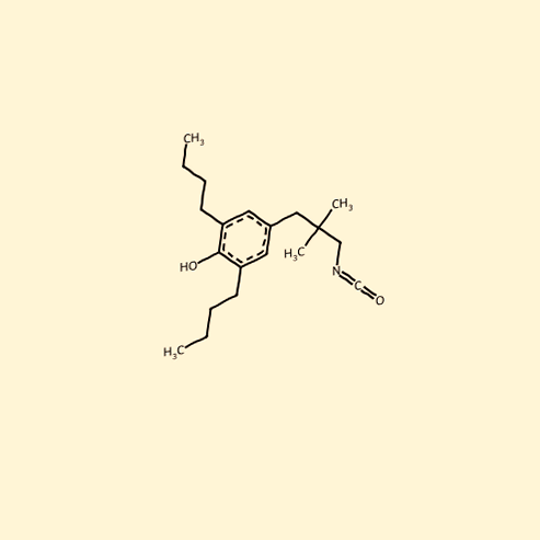 CCCCc1cc(CC(C)(C)CN=C=O)cc(CCCC)c1O